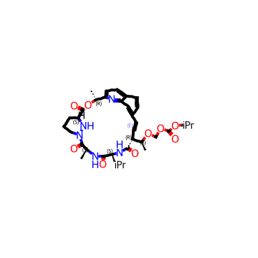 CC(C)OC(=O)OCO[C@@H](C)[C@H]1/C=C/c2ccc3ccc(nc3c2)[C@@H](C)OC(=O)[C@@H]2CCCN(N2)C(=O)[C@H](C)NC(=O)[C@H](C(C)C)NC1=O